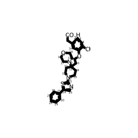 O=C(O)Cc1ccc(Cl)c(OCCC2(N3CCOCC3)CCN(c3ncc(-c4ccccc4)s3)CC2)c1